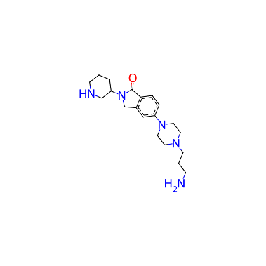 NCCCN1CCN(c2ccc3c(c2)CN(C2CCCNC2)C3=O)CC1